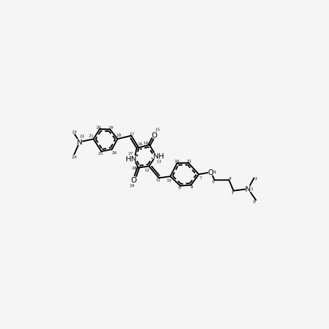 CN(C)CCCOc1ccc(C=c2[nH]c(=O)c(=Cc3ccc(N(C)C)cc3)[nH]c2=O)cc1